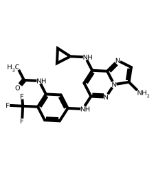 CC(=O)Nc1cc(Nc2cc(NC3CC3)c3ncc(N)n3n2)ccc1C(F)(F)F